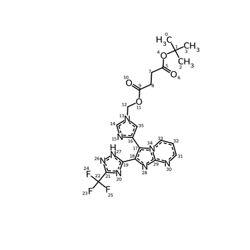 CC(C)(C)OC(=O)CCC(=O)OCn1cnc(-c2c(-c3nc(C(F)(F)F)n[nH]3)nc3ncccn23)c1